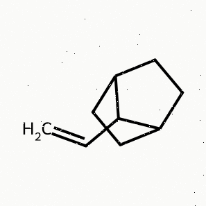 C=CC1C2CCC1CC2